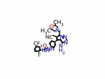 CC1CN(Cc2c(CC#N)c(-c3ccc(NC(=O)Nc4cc(C(F)(F)F)ccc4F)cc3)c3c(N)ncnn23)CC(C)O1